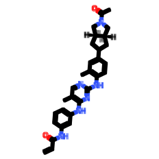 C=CC(=O)Nc1cccc(Nc2nc(Nc3ccc(C4C[C@@H]5CN(C(C)=O)C[C@@H]5C4)cc3C)ncc2C)c1